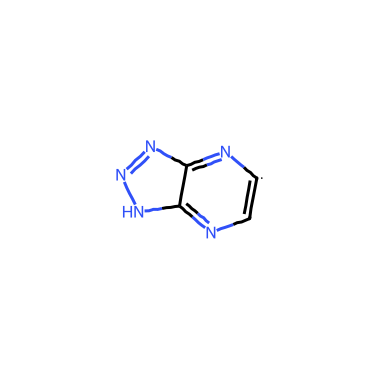 [c]1cnc2[nH]nnc2n1